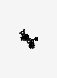 CC1=C(OCC#N)C(B2OC(C)(C)C(C)(C)O2)CC=C1C(=O)NN(C(=O)c1cc(C)cc(C)c1)C(C)(C)C